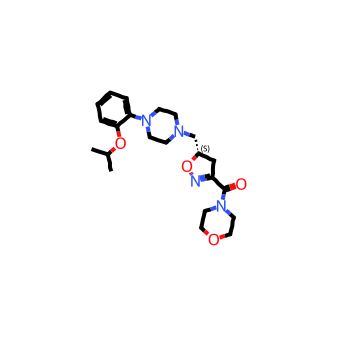 CC(C)Oc1ccccc1N1CCN(C[C@@H]2CC(C(=O)N3CCOCC3)=NO2)CC1